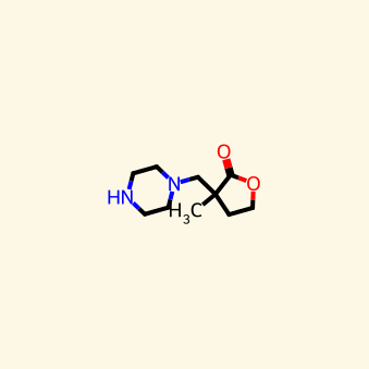 CC1(CN2CCNCC2)CCOC1=O